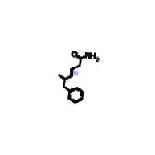 CC(/C=C/CC(N)=O)Cc1ccccc1